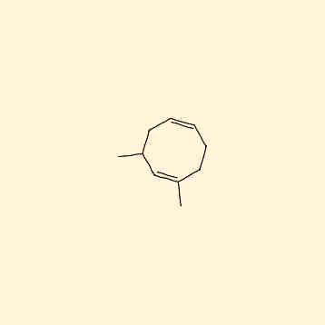 CC1=CC(C)CC=CCC1